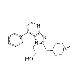 OCCn1c(CC2CCNCC2)nc2nccc(-c3ccccc3)c21